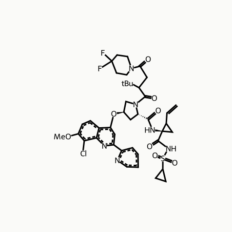 C=CC1C[C@]1(NC(=O)[C@@H]1C[C@@H](Oc2cc(-c3ccccn3)nc3c(Cl)c(OC)ccc23)CN1C(=O)C(CC(=O)N1CCC(F)(F)CC1)C(C)(C)C)C(=O)NS(=O)(=O)C1CC1